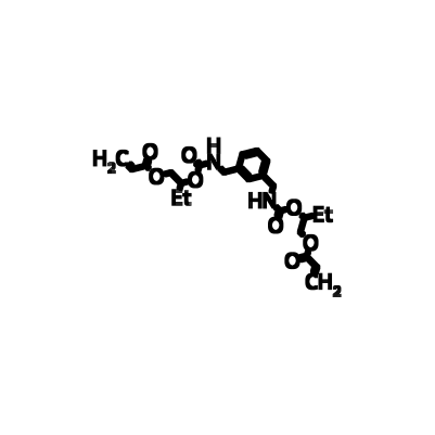 C=CC(=O)OCC(CC)OC(=O)NCc1cccc(CNC(=O)OC(CC)COC(=O)C=C)c1